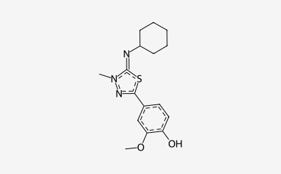 COc1cc(-c2nn(C)c(=NC3CCCCC3)s2)ccc1O